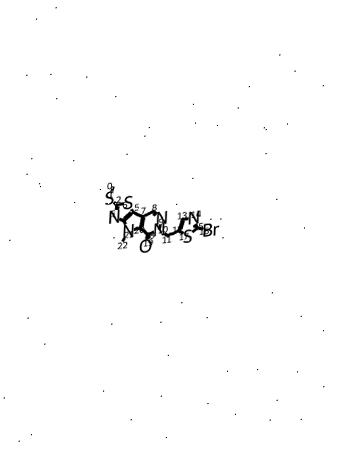 CSc1nc2c(s1)c1cnn(Cc3cnc(Br)s3)c(=O)c1n2C